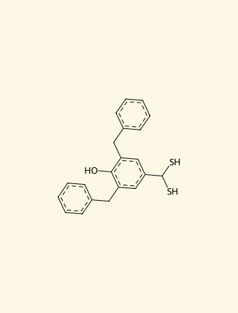 Oc1c(Cc2ccccc2)cc(C(S)S)cc1Cc1ccccc1